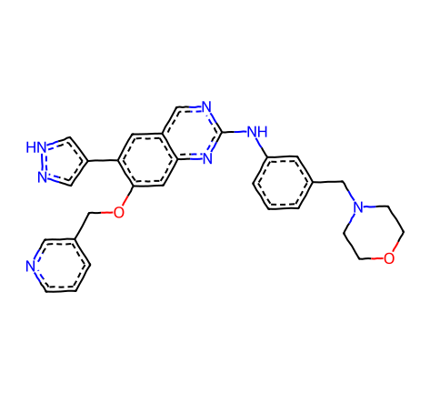 c1cncc(COc2cc3nc(Nc4cccc(CN5CCOCC5)c4)ncc3cc2-c2cn[nH]c2)c1